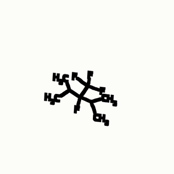 CC(C)C(F)(C(C)C)C(F)(F)F